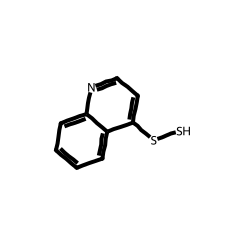 SSc1ccnc2ccccc12